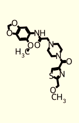 COCc1nc(C(=O)N2CCN(CC(=O)Nc3cc4c(cc3OC)OCO4)CC2)cs1